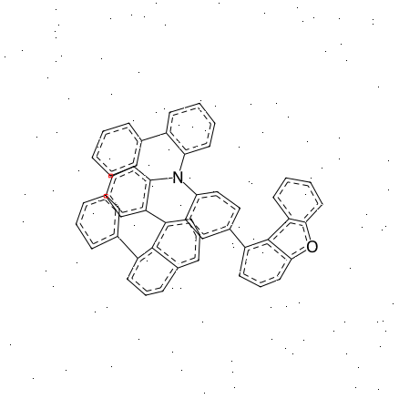 c1ccc(-c2ccccc2N(c2ccc(-c3cccc4oc5ccccc5c34)cc2)c2ccccc2-c2cccc3cccc(-c4ccccc4)c23)cc1